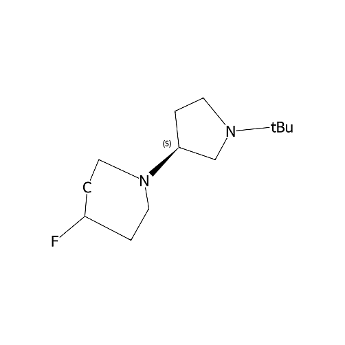 CC(C)(C)N1CC[C@H](N2CCC(F)CC2)C1